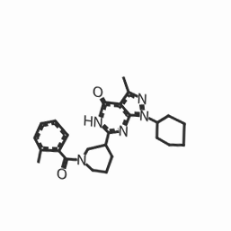 Cc1ccccc1C(=O)N1CCCC(c2nc3c(c(C)nn3C3CCCCC3)c(=O)[nH]2)C1